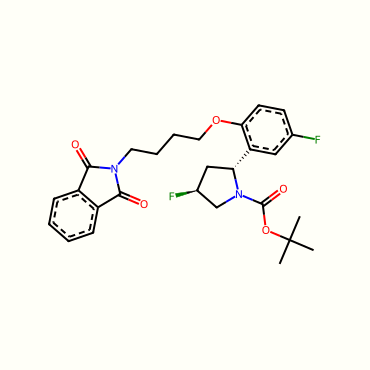 CC(C)(C)OC(=O)N1C[C@@H](F)C[C@@H]1c1cc(F)ccc1OCCCCN1C(=O)c2ccccc2C1=O